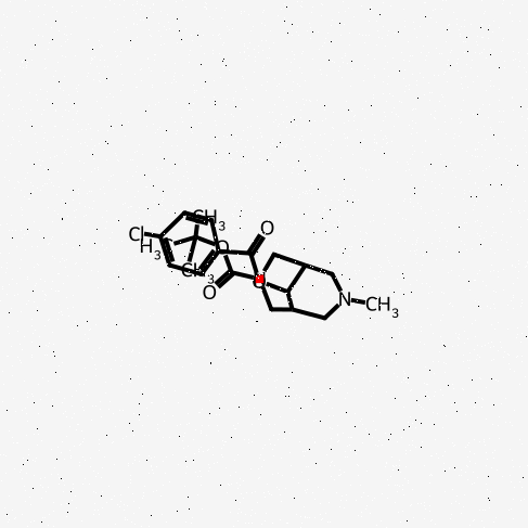 CN1CC2CN(C(=O)OC(C)(C)C)CC(C1)C2OC(=O)c1ccc(Cl)cc1